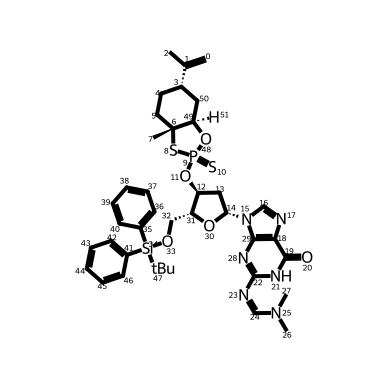 C=C(C)[C@H]1CC[C@@]2(C)SP(=S)(O[C@H]3C[C@H](n4cnc5c(=O)[nH]c(/N=C\N(C)C)nc54)O[C@@H]3CO[Si](c3ccccc3)(c3ccccc3)C(C)(C)C)O[C@@H]2C1